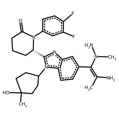 C/C(N)=C(\c1ccc2c(c1)nc([C@@H]1CCCC(=O)N1c1ccc(F)c(F)c1)n2C1CCC(C)(O)CC1)N(C)N